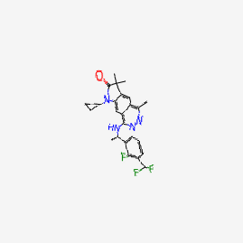 Cc1nnc(N[C@H](C)c2cccc(C(F)F)c2F)c2cc3c(cc12)C(C)(C)C(=O)N3C1CC1